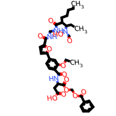 CCCCCC(C(=O)NCNC(=O)c1ccc(-c2ccc(C(=O)NC(CC(=O)O)C(=O)OCOC(=O)c3ccccc3)c(OCC)c2)o1)C(CC)N(O)C=O